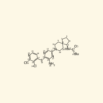 CC(C)(C)[S+]([O-])N[C@@H]1CCCC12CCN(c1cnc(Sc3ccnc(Cl)c3Cl)c(N)n1)CC2